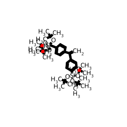 C=C(c1ccc([Si](OC(C)(C)C)(OC(C)(C)C)OC(C)(C)C)cc1)c1ccc([Si](OC(C)(C)C)(OC(C)(C)C)OC(C)(C)C)cc1